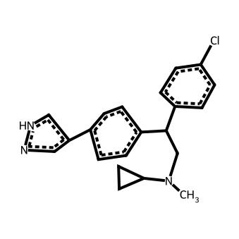 CN(CC(c1ccc(Cl)cc1)c1ccc(-c2cn[nH]c2)cc1)C1CC1